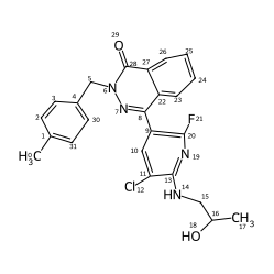 Cc1ccc(Cn2nc(-c3cc(Cl)c(NCC(C)O)nc3F)c3ccccc3c2=O)cc1